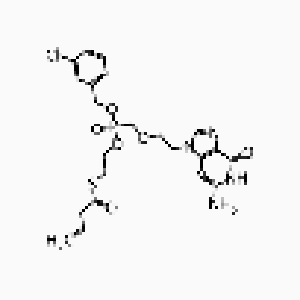 C=CCC(=O)SCCOP(=O)(COCCn1cnc2c(=O)[nH]c(N)nc21)OCc1cccc(Cl)c1